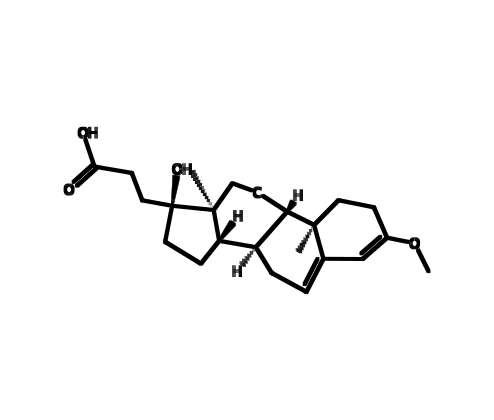 COC1=CC2=CC[C@@H]3[C@H](CC[C@@]4(C)[C@H]3CC[C@]4(O)CCC(=O)O)[C@@]2(C)CC1